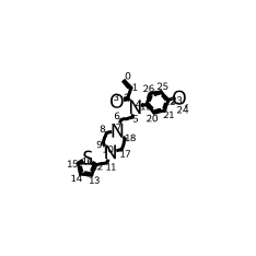 C=CC(=O)N(CCN1CCN(Cc2cccs2)CC1)c1ccc(OC)cc1